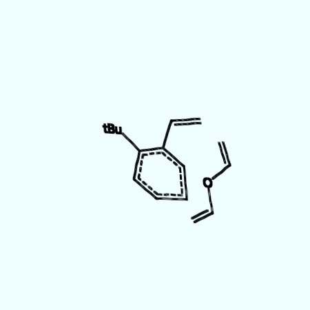 C=COC=C.C=Cc1ccccc1C(C)(C)C